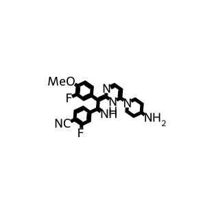 COc1ccc(/C(C(=N)c2ccc(C#N)c(F)c2)=C2\N=CC=C(N3CCC(N)CC3)N2)cc1F